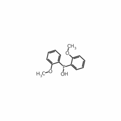 COc1ccccc1P(O)c1ccccc1OC